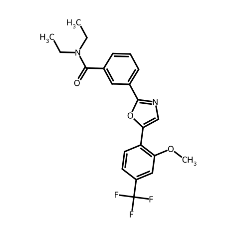 CCN(CC)C(=O)c1cccc(-c2ncc(-c3ccc(C(F)(F)F)cc3OC)o2)c1